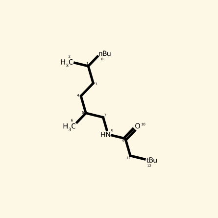 CCCCC(C)CCC(C)CNC(=O)CC(C)(C)C